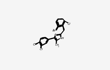 Cc1[nH]c(Cc2c(Cl)cccc2Br)nc1-c1ccc(Cl)c(Cl)c1